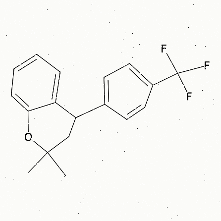 CC1(C)CC(c2ccc(C(F)(F)F)cc2)c2ccccc2O1